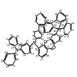 C1=C(c2ccccc2)CCC(N(c2ccc3c(c2)c2ccccc2n3-c2ccccc2)c2cccc3c2Oc2cc4c(cc2O3)-c2ccccc2C42c3ccccc3-c3ccccc32)=C1